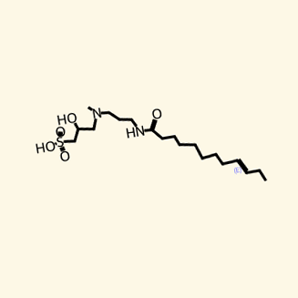 CC/C=C/CCCCCCCC(=O)NCCCN(C)CC(O)CS(=O)(=O)O